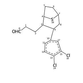 O=CCCC1C2CCC(CC1c1ccc(Cl)c(Cl)c1)S2